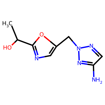 CC(O)c1ncc(Cn2ncc(N)n2)o1